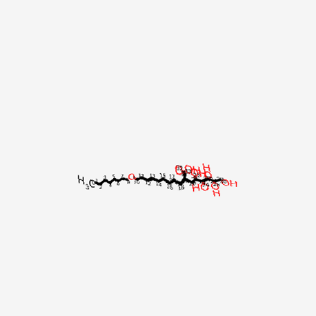 CCCCCCCCCOCCC=CCCCCCC(CC(O)C(O)C(O)C(O)CO)C(=O)O